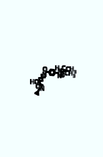 CC(C)(C)c1nc(-c2ccc(C(=O)N3CC4(C3)CC(O)(c3cnc(C5CC5)o3)C4)cc2)no1